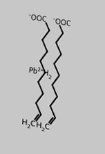 C=CCCCCCCCCC(=O)[O-].C=CCCCCCCCCC(=O)[O-].[PbH2+2]